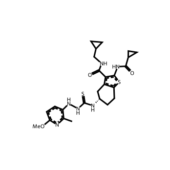 COc1ccc(NNC(=S)N[C@H]2CCc3sc(NC(=O)C4CC4)c(C(=O)NCC4CC4)c3C2)c(C)n1